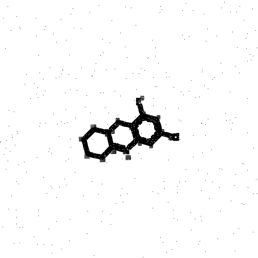 Fc1cc(Cl)cc2c1CN1CCCCC1=N2